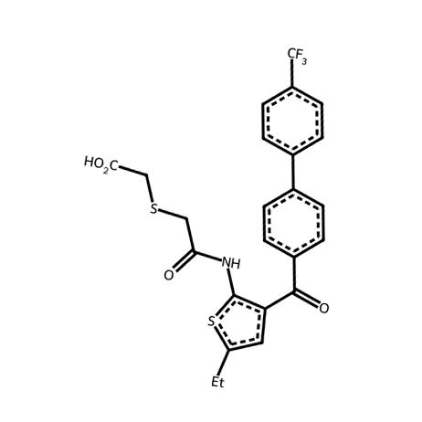 CCc1cc(C(=O)c2ccc(-c3ccc(C(F)(F)F)cc3)cc2)c(NC(=O)CSCC(=O)O)s1